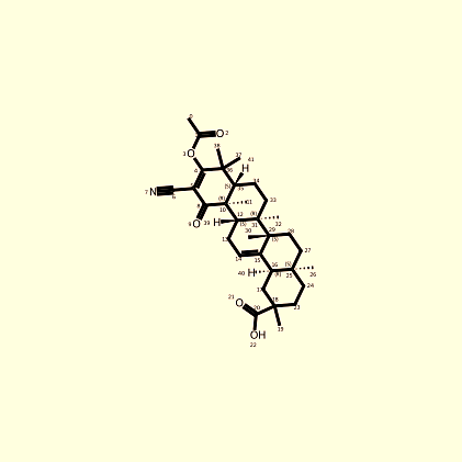 CC(=O)OC1=C(C#N)C(=O)[C@]2(C)[C@H]3CC=C4[C@@H]5CC(C)(C(=O)O)CC[C@]5(C)CC[C@@]4(C)[C@]3(C)CC[C@H]2C1(C)C